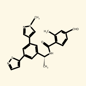 Cc1cc(C=O)ccc1C(=O)N[C@H](C)c1cc(-c2cnn(C)c2)cc(-c2ccns2)c1